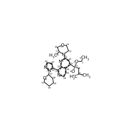 CCOP(=O)(CC(C)C)c1cc(N2CCOCC2C)nc2c(-c3ccnn3C3CCCCO3)nccc12